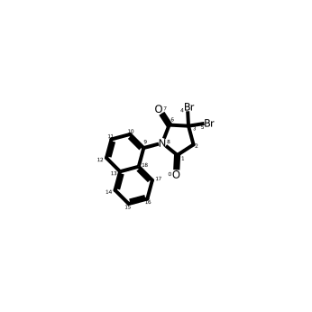 O=C1CC(Br)(Br)C(=O)N1c1cccc2ccccc12